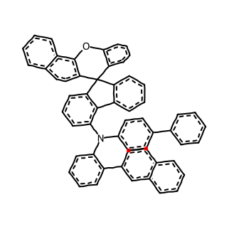 c1ccc(-c2ccc(N(c3ccccc3-c3ccc4ccccc4c3)c3cccc4c3-c3ccccc3C43c4ccccc4Oc4c3ccc3ccccc43)cc2)cc1